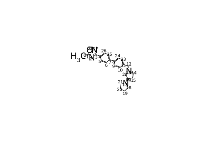 Cc1nc(-c2ccc(-c3ccc(CN4CC[C@H](N5CCCC5)C4)cc3)cc2)no1